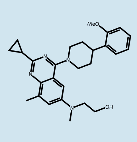 COc1ccccc1C1CCN(c2nc(C3CC3)nc3c(C)cc(N(C)CCO)cc23)CC1